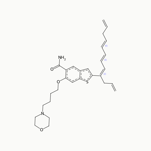 C=CC/C=C/C=C/C=C(/CC=C)c1cc2cc(C(N)=O)c(OCCCCN3CCOCC3)cc2s1